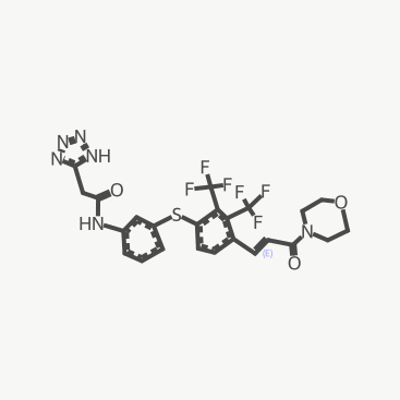 O=C(Cc1nnn[nH]1)Nc1cccc(Sc2ccc(/C=C/C(=O)N3CCOCC3)c(C(F)(F)F)c2C(F)(F)F)c1